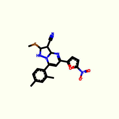 CSC1NN2C(c3ccc(C)cc3C)=CC(c3ccc([N+](=O)[O-])o3)=NC2C1C#N